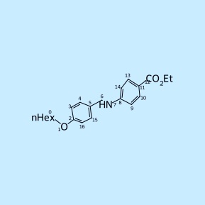 CCCCCCOc1ccc(CNc2ccc(C(=O)OCC)cc2)cc1